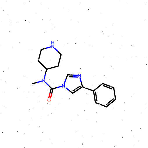 CN(C(=O)n1cnc(-c2ccccc2)c1)C1CCNCC1